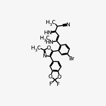 CN/C(=C\C(=N)C(C)C#N)c1ccc(Br)cc1-c1oc(C)nc1-c1ccc2c(c1)OC(F)(F)O2